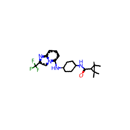 CC1(C)C(C(=O)NC2CCC(Nc3cccc4nc(C(F)(F)F)cn34)CC2)C1(C)C